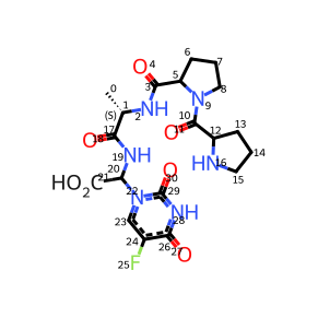 C[C@H](NC(=O)C1CCCN1C(=O)C1CCCN1)C(=O)NC(C(=O)O)n1cc(F)c(=O)[nH]c1=O